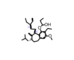 C=C/C(=C\C=C1/C(=C)[C@@H](CC(C)C)CCc2cc(OC)c(CC)c(OC(O)CC)c21)CC